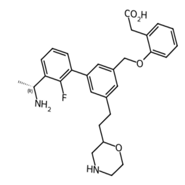 C[C@@H](N)c1cccc(-c2cc(CCC3CNCCO3)cc(COc3ccccc3CC(=O)O)c2)c1F